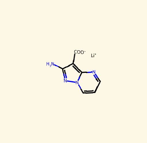 Nc1nn2cccnc2c1C(=O)[O-].[Li+]